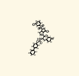 O=C(NC(Cc1ccc(F)cc1)C(=O)N1CCC2C1C(=O)CN2S(=O)(=O)c1ccc[n+]([O-])c1)Oc1ccc(-c2ccccc2)cc1